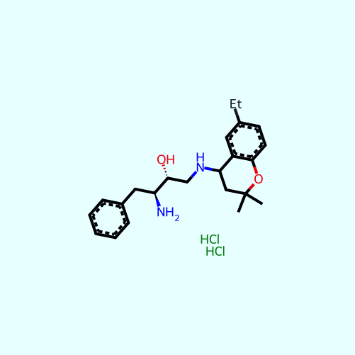 CCc1ccc2c(c1)C(NC[C@@H](O)[C@@H](N)Cc1ccccc1)CC(C)(C)O2.Cl.Cl